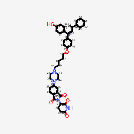 CCC(/C=C(\c1ccc(O)cc1)c1ccc(OCCCCCN2CCN(c3ccc4c(c3)C(=O)N(C3CCC(=O)NC3=O)C4=O)CC2)cc1)c1ccccc1